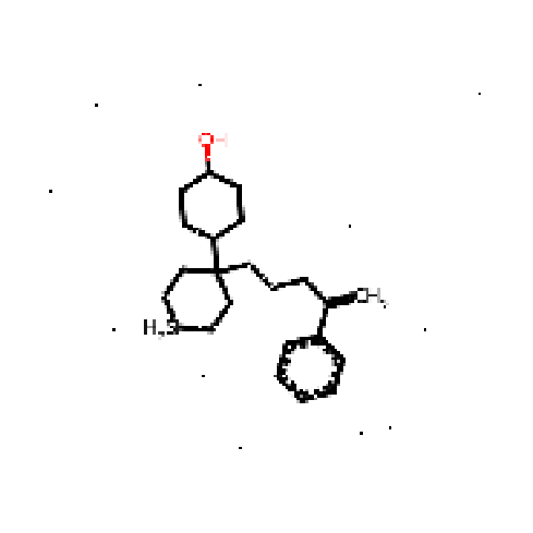 C=C(CCCC1(C2CCC(O)CC2)CC[SiH2]CC1)c1ccccc1